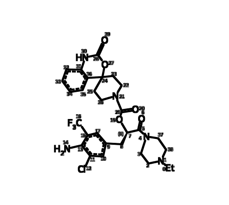 CCN1CCN(C(=O)[C@@H](Cc2cc(Cl)c(N)c(C(F)(F)F)c2)OC(=O)N2CCC3(CC2)OC(=O)Nc2ccccc23)CC1